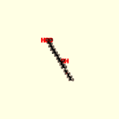 CCCCCCC=CCC=CCC(O)CCCCCCCCCCCCCC(=O)O